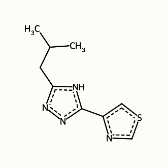 CC(C)Cc1nnc(-c2cscn2)[nH]1